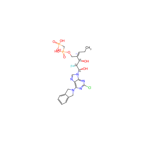 CC/C=C(/COP(=O)(O)CP(=O)(O)O)[C@@H](O)[C@H](F)[C@@H](O)n1cnc2c(N3Cc4ccccc4C3)nc(Cl)nc21